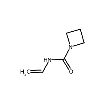 C=CNC(=O)N1CCC1